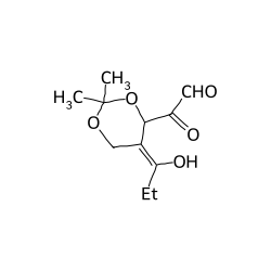 CCC(O)=C1COC(C)(C)OC1C(=O)C=O